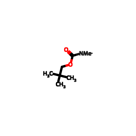 C[N]C(=O)OCC(C)(C)C